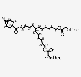 CCCCCCCCCCCC(=O)OCCCCCCC(CCCCCCOC(=O)CCCCCCCCCCC)CCCCOC(=O)C1CCN(C)CC1